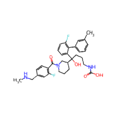 CNCc1ccc(C(=O)N2CCCC(C(O)(CCCNC(=O)O)c3cccc(F)c3-c3cccc(C)c3)C2)c(F)c1